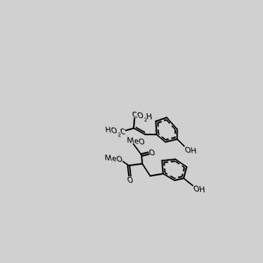 COC(=O)C(Cc1cccc(O)c1)C(=O)OC.O=C(O)C(=Cc1cccc(O)c1)C(=O)O